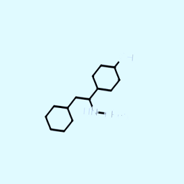 CCCCCNC(CC1CCCCC1)C1CCC(C)CC1